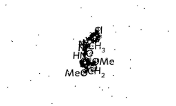 C=C(OC)c1ccc(NC(=O)c2nnn(Cc3cccc(Cl)c3)c2C)cc1C(=O)OC